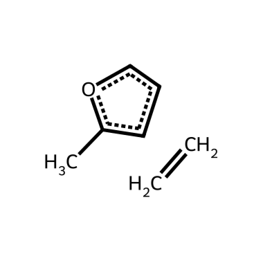 C=C.Cc1ccco1